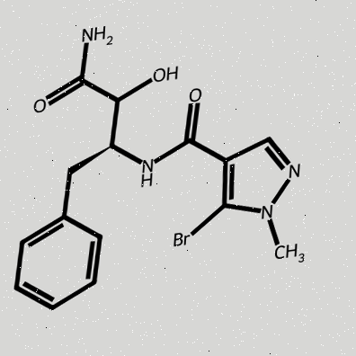 Cn1ncc(C(=O)N[C@@H](Cc2ccccc2)C(O)C(N)=O)c1Br